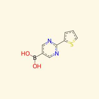 OB(O)c1cnc(-c2cccs2)nc1